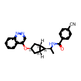 CC(NC(=O)c1ccc(C#N)cc1)[C@H]1[C@@H]2C[C@@H](Oc3cnnc4ccccc34)C[C@@H]21